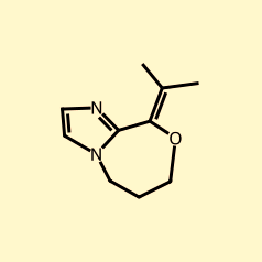 CC(C)=C1OCCCn2ccnc21